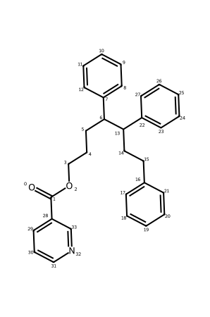 O=C(OCCCC(c1ccccc1)C(CCc1ccccc1)c1ccccc1)c1cccnc1